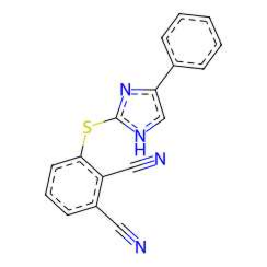 N#Cc1cccc(Sc2nc(-c3ccccc3)c[nH]2)c1C#N